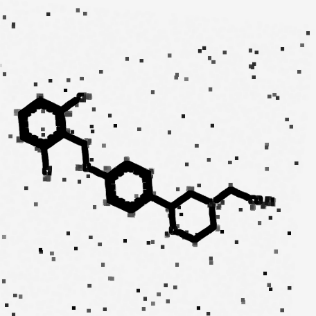 CCOC(=O)CN1CCOC(c2ccc(OCc3c(Cl)cccc3Cl)cc2)C1